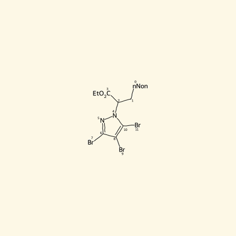 CCCCCCCCCCC(C(=O)OCC)n1nc(Br)c(Br)c1Br